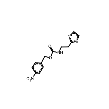 O=C(NCCc1n[c]cs1)OCc1ccc([N+](=O)[O-])cc1